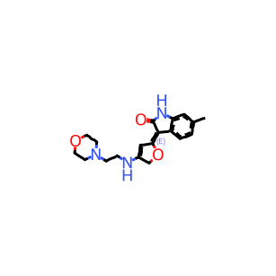 Cc1ccc2c(c1)NC(=O)/C2=C1\C=C(NCCN2CCOCC2)CO1